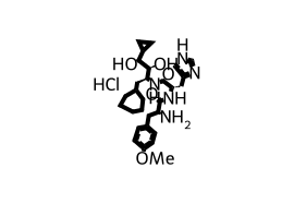 COc1ccc(C[C@H](N)C(=O)N[C@@H](Cc2c[nH]cn2)C(=O)N[C@@H](CC2CCCCC2)[C@@H](O)[C@@H](O)C2CC2)cc1.Cl